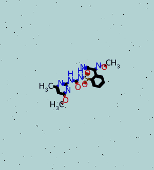 CO/N=C(/C#N)c1ccccc1S(=O)(=O)NC(=O)Nc1nc(C)cc(OC)n1